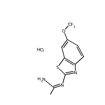 CC(N)=Nc1nc2ccc(OC(F)(F)F)cc2s1.Cl